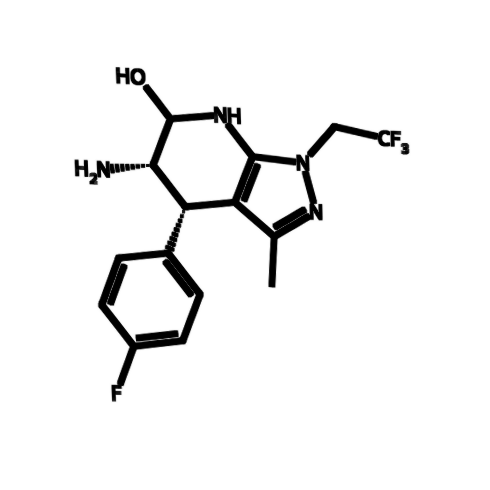 Cc1nn(CC(F)(F)F)c2c1[C@H](c1ccc(F)cc1)[C@H](N)C(O)N2